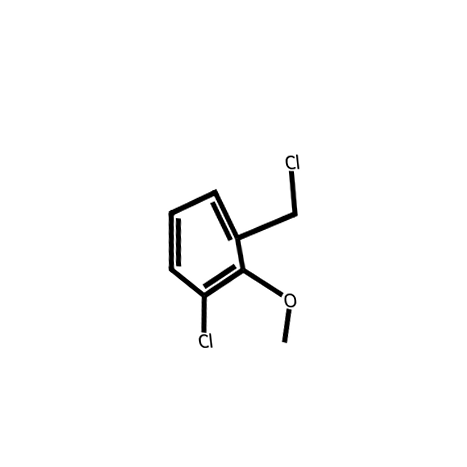 COc1c(Cl)cccc1CCl